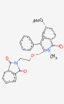 COc1ccc2c(=O)n(C)c(COCCN3C(=O)c4ccccc4C3=O)c(-c3ccccc3)c2c1